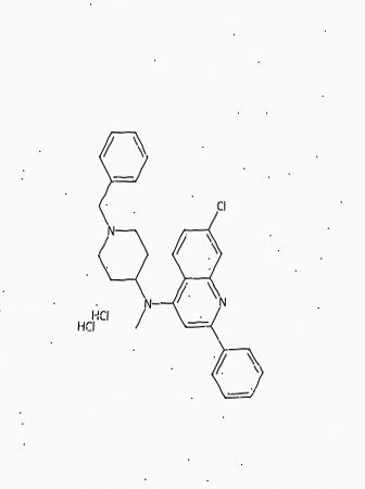 CN(c1cc(-c2ccccc2)nc2cc(Cl)ccc12)C1CCN(Cc2ccccc2)CC1.Cl.Cl